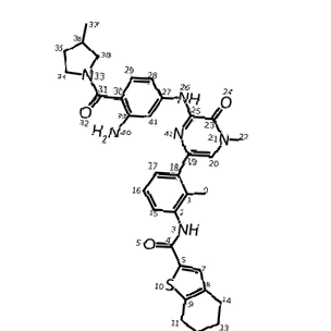 Cc1c(NC(=O)c2cc3c(s2)CCCC3)cccc1-c1cn(C)c(=O)c(Nc2ccc(C(=O)N3CCC(C)C3)c(N)c2)n1